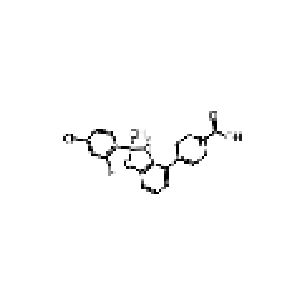 C[C@@]1(c2ccc(Cl)cc2F)Oc2cccc(C3=CCN(C(=O)O)CC3)c2O1